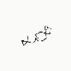 CC1(CN2CCC3(CCO3)CC2)CC1